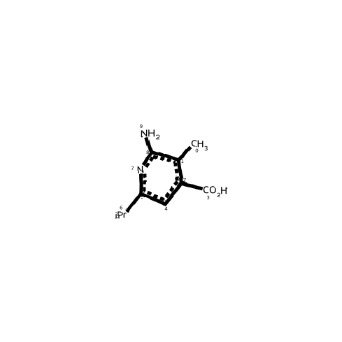 Cc1c(C(=O)O)cc(C(C)C)nc1N